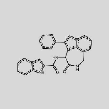 O=C(NC1C(=O)NCc2cccc3cc(-c4ccccc4)n1c23)c1cc2ccccc2[nH]1